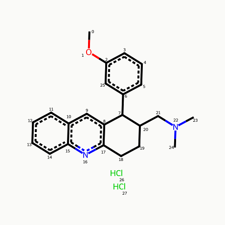 COc1cccc(C2c3cc4ccccc4nc3CCC2CN(C)C)c1.Cl.Cl